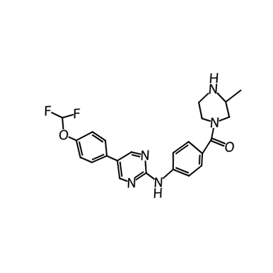 CC1CN(C(=O)c2ccc(Nc3ncc(-c4ccc(OC(F)F)cc4)cn3)cc2)CCN1